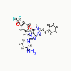 Cn1c(CCc2ccccc2)nc2nc(N3CCCC(N)C3)n(Cc3cccc(OC(F)F)c3)c2c1=O